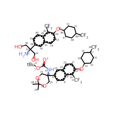 CC(C)(C)OC(=O)NC1(c2ccc3c(C(F)(F)F)c(OC4CCC(C(F)(F)F)CC4)ccc3c2)COC(C)(C)OC1.NC(CO)(CO)c1ccc2c(C(F)(F)F)c(OC3CCC(C(F)(F)F)CC3)ccc2c1